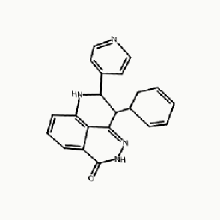 O=c1[nH]nc2c3c(cccc13)NC(c1ccncc1)C2C1C=CC=CC1